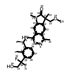 Cc1c([C@@H](C)Nc2nnc(C)c3cc4c(cc23)N(C)C(=O)C4(C)COI)cccc1C(F)(F)CO